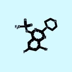 O=S(=O)(Oc1nc(N2CCOCC2)nc2c(Br)cc(F)cc12)C(F)(F)F